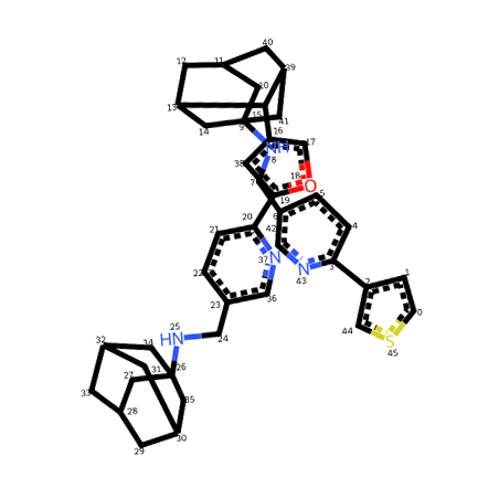 c1cc(-c2ccc(CNC34CC5CC(C3)C(c3coc(-c6ccc(CNC78CC9CC(CC(C9)C7)C8)cn6)c3)C(C5)C4)cn2)cs1